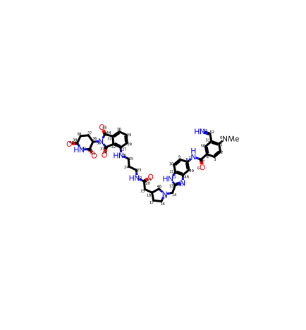 CNc1ccc(C(=O)Nc2ccc3[nH]c(CN4CCC(CC(=O)NCCCNc5cccc6c5C(=O)N(C5CCC(=O)NC5=O)C6=O)C4)nc3c2)cc1C=N